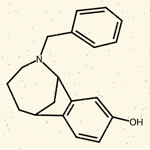 Oc1ccc2c(c1)C1CC2CCCN1Cc1ccccc1